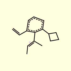 C=Cc1cccc(C2CCC2)c1/C(C)=C/C